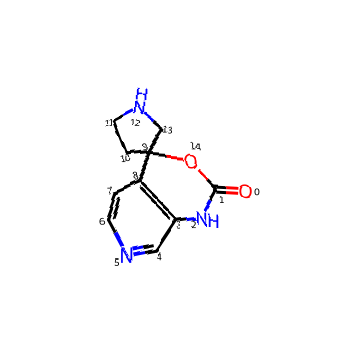 O=C1Nc2cnccc2C2(CCNC2)O1